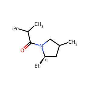 CC[C@@H]1CC(C)CN1C(=O)C(C)C(C)C